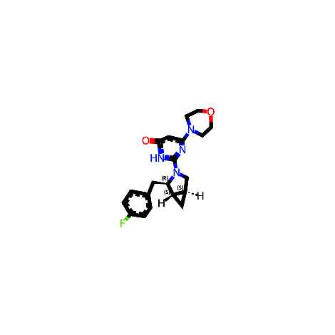 O=c1cc(N2CCOCC2)nc(N2C[C@H]3C[C@@H]3[C@H]2Cc2ccc(F)cc2)[nH]1